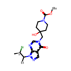 CCC([C@@H](C)Br)n1ncc2c(=O)n(CC3(O)CCN(C(=O)OC(C)(C)C)CC3)cnc21